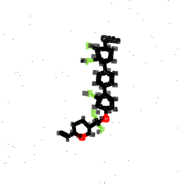 C=CC1CCC(C(F)(F)Oc2ccc(-c3ccc(-c4ccc(OC)c(F)c4F)cc3)c(F)c2)CO1